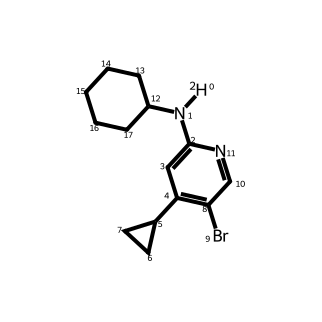 [2H]N(c1cc(C2CC2)c(Br)cn1)C1CCCCC1